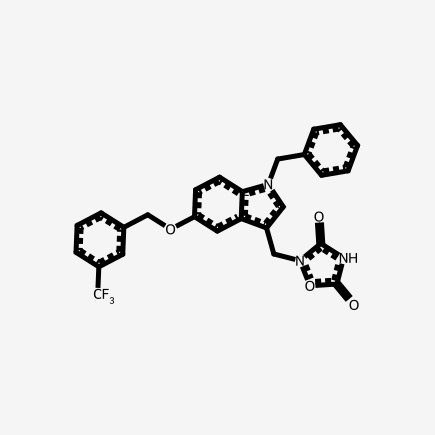 O=c1[nH]c(=O)n(Cc2cn(Cc3ccccc3)c3ccc(OCc4cccc(C(F)(F)F)c4)cc23)o1